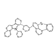 c1ccc(-n2c3c(-c4cccc(-c5ccc6c7c(cccc57)-c5ccccc5S6)c4)cccc3c3ccc4ccccc4c32)cc1